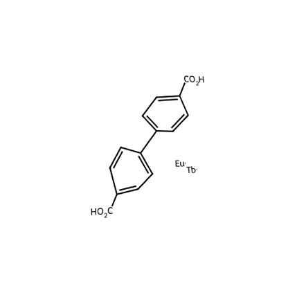 O=C(O)c1ccc(-c2ccc(C(=O)O)cc2)cc1.[Eu].[Tb]